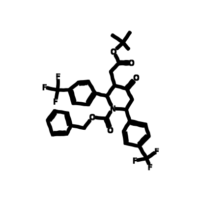 CC(C)(C)OC(=O)CC1C(=O)CC(c2ccc(C(F)(F)F)cc2)N(C(=O)OCc2ccccc2)C1c1ccc(C(F)(F)F)cc1